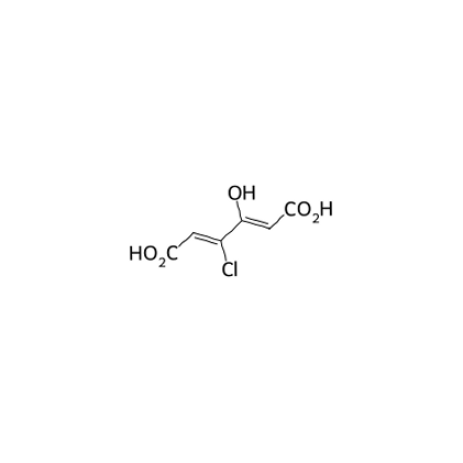 O=C(O)C=C(O)C(Cl)=CC(=O)O